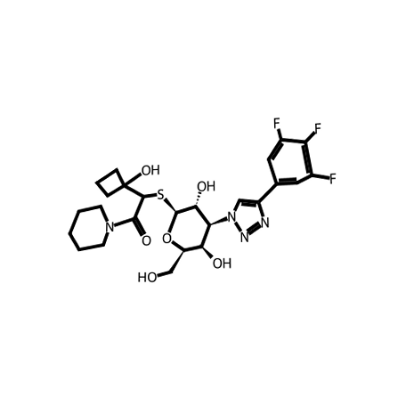 O=C(C(S[C@@H]1O[C@H](CO)[C@H](O)[C@H](n2cc(-c3cc(F)c(F)c(F)c3)nn2)[C@H]1O)C1(O)CCC1)N1CCCCC1